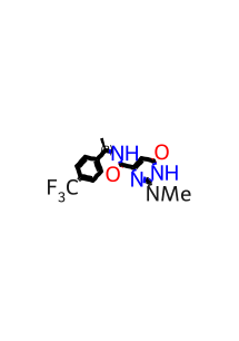 CNc1nc(C(=O)N[C@H](C)c2ccc(C(F)(F)F)cc2)cc(=O)[nH]1